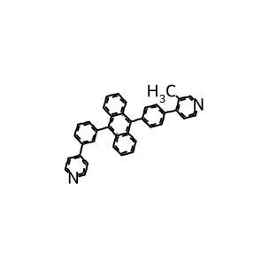 Cc1cnccc1-c1ccc(-c2c3ccccc3c(-c3cccc(-c4ccncc4)c3)c3ccccc23)cc1